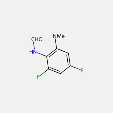 CNc1cc(F)cc(F)c1NC=O